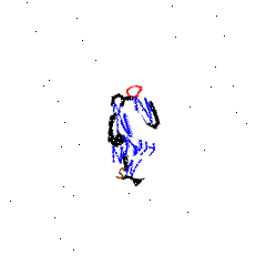 O=C(C1CCCN(c2ccc3nc(-c4nc(C5CC5)cs4)[nH]c3n2)C1)N1CCCC1